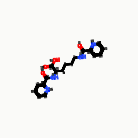 O=C(NCCCC[C@@H](NC(=O)c1ccccn1)C(=O)O)c1ccccn1